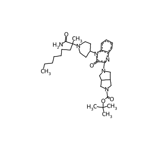 CCCCCCCC(C)(C(N)=O)N1CCC(n2c(=O)c(N3CC4CN(C(=O)OC(C)(C)C)CC4C3)nc3ccccc32)CC1